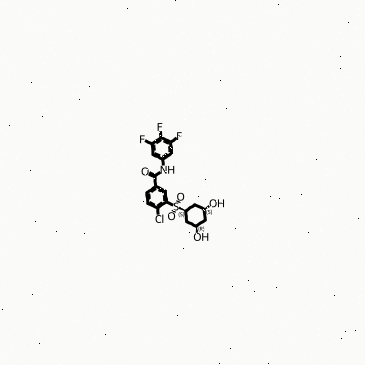 O=C(Nc1cc(F)c(F)c(F)c1)c1ccc(Cl)c(S(=O)(=O)[C@@H]2C[C@H](O)C[C@H](O)C2)c1